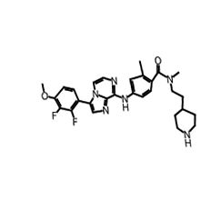 COc1ccc(-c2cnc3c(Nc4ccc(C(=O)N(C)CCC5CCNCC5)c(C)c4)nccn23)c(F)c1F